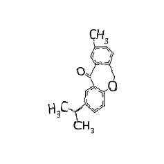 Cc1ccc2c(c1)C(=O)c1cc(C(C)C)ccc1OC2